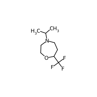 CC(C)N1CCOC(C(F)(F)F)CC1